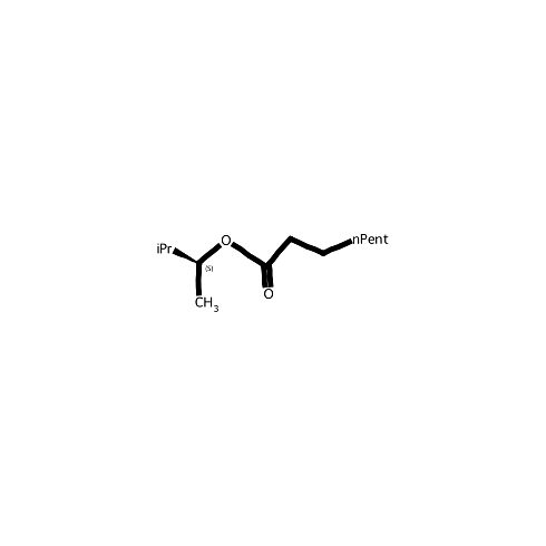 CCCCCCCC(=O)O[C@@H](C)C(C)C